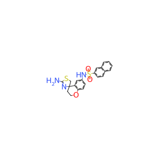 NC1=NC2(CCOc3ccc(NS(=O)(=O)c4ccc5ccccc5c4)cc32)CS1